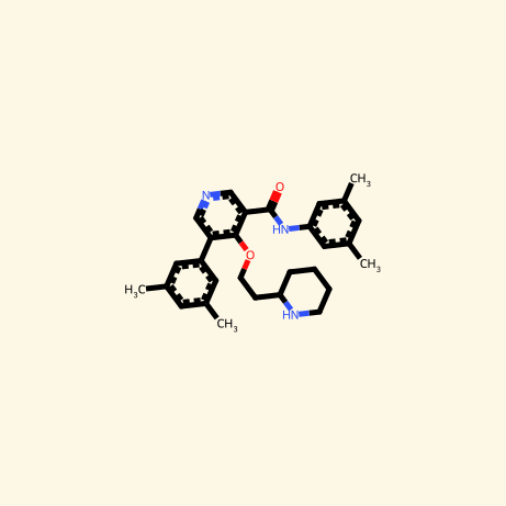 Cc1cc(C)cc(NC(=O)c2cncc(-c3cc(C)cc(C)c3)c2OCCC2CCCCN2)c1